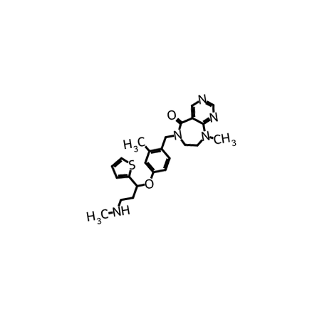 CNCCC(Oc1ccc(CN2CCN(C)c3ncncc3C2=O)c(C)c1)c1cccs1